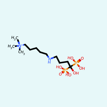 C[N+](C)(C)CCCCCNCCCC(O)(P(=O)(O)O)P(=O)(O)O